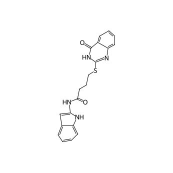 O=C(CCCSc1nc2ccccc2c(=O)[nH]1)Nc1cc2ccccc2[nH]1